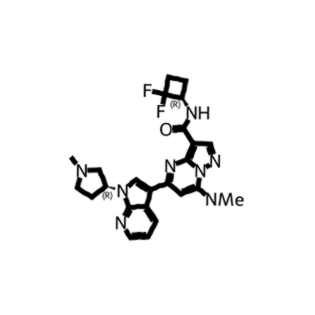 CNc1cc(-c2cn([C@@H]3CCN(C)C3)c3ncccc23)nc2c(C(=O)N[C@@H]3CCC3(F)F)cnn12